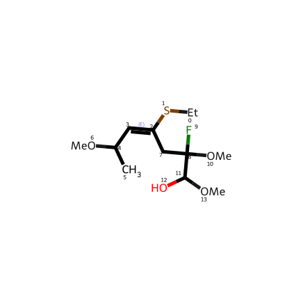 CCS/C(=C/C(C)OC)CC(F)(OC)C(O)OC